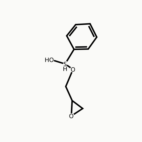 O[SH](OCC1CO1)c1ccccc1